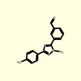 Cc1ccc(-c2nc(-c3cccc(C=O)c3)n(C)n2)cc1